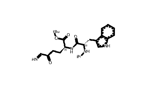 CC(C)N[C@@H](Cc1c[nH]c2ccccc12)C(=O)N[C@@H](CCC(=O)C=N)C(=O)OC(C)(C)C